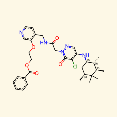 C[C@@H]1[C@@H](C)C(C)(C)[C@@H](C)C[C@H]1Nc1cnn(CC(=O)NCc2ccncc2OCCOC(=O)c2ccccc2)c(=O)c1Cl